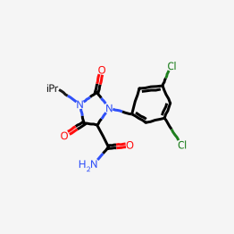 CC(C)N1C(=O)C(C(N)=O)N(c2cc(Cl)cc(Cl)c2)C1=O